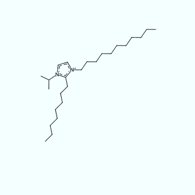 CCCCCCCCCCC[n+]1ccn(C(C)C)c1CCCCCCCC